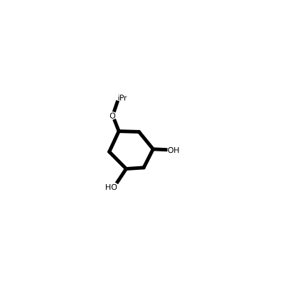 CC(C)OC1CC(O)CC(O)C1